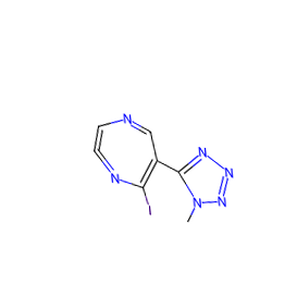 Cn1nnnc1C1=C(I)N=C=CN=C1